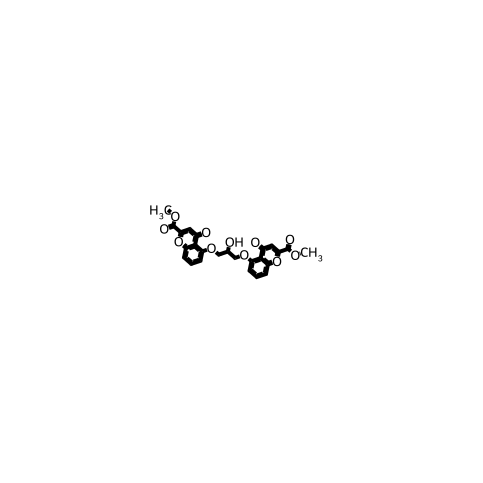 COC(=O)c1cc(=O)c2c(OCC(O)COc3cccc4oc(C(=O)OC)cc(=O)c34)cccc2o1